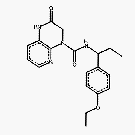 CCOc1ccc(C(CC)NC(=O)N2CC(=O)Nc3cccnc32)cc1